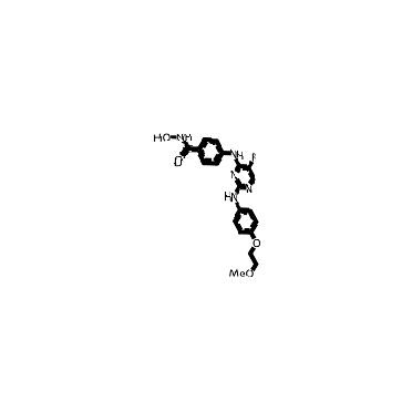 COCCOc1ccc(Nc2ncc(F)c(Nc3ccc(C(=O)NO)cc3)n2)cc1